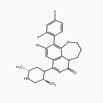 C[C@@H]1CN(c2nc(=O)n3c4c(c(-c5ccc(F)cc5F)c(Cl)cc24)OCCC3)[C@@H](C)CN1